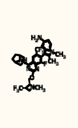 Cc1c(-c2c(C(F)(F)F)cc3c(N4CC5CCC(C4)N5)nc(OC[C@@H]4[C@H](C(F)(F)F)CN4C)nc3c2F)c2cc(N)ccc2n1C